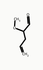 C=CCC(C=O)OC